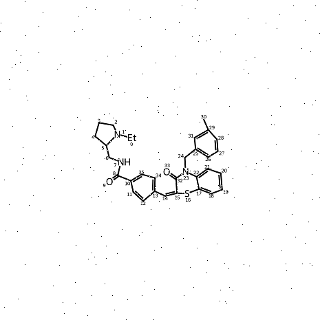 CCN1CCCC1CNC(=O)c1ccc(C=C2Sc3ccccc3N(Cc3cccc(C)c3)C2=O)cc1